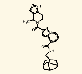 CC1c2cn[nH]c2CCN1C(=O)c1cc2c(C(=O)NCC34CC5CC(CC(C5)C3)C4)cccn2n1